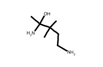 CC(N)(O)C(C)(C)CCN